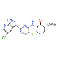 CO[C@@H]1CCC[C@H](Nc2nc(-c3c[nH]c4ncc(Cl)cc34)ncc2F)[C@H]1O